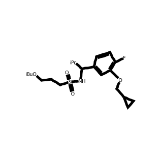 CC(C)COCCCS(=O)(=O)NC(c1ccc(F)c(OCC2CC2)c1)C(C)C